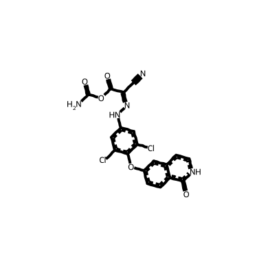 N#CC(=NNc1cc(Cl)c(Oc2ccc3c(=O)[nH]ccc3c2)c(Cl)c1)C(=O)OC(N)=O